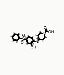 O=C(O)N1CCC(Nc2ccc(S(=O)(=O)c3ccccc3)cc2O)CC1